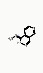 N/N=c1\[nH]ncc2cnccc12